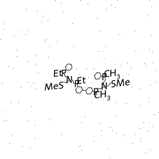 CCP(CCN(CCSC)CCP(CC)C1CCCC(C2CCC(P(C)CCN(CCSC)CCP(C)C3CCCCC3)CC2)C1)C1CCCCC1